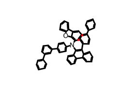 c1ccc(-c2ccc(-c3c(N(c4ccc(-c5cccc(-c6ccccc6)c5)cc4)c4cccc5c4oc4ccccc45)c4ccccc4c4ccccc34)cc2)cc1